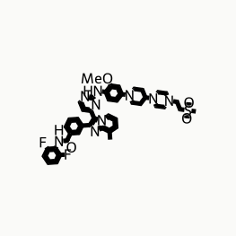 COc1cc(N2CCC(N3CCN(CCS(C)(=O)=O)CC3)CC2)ccc1Nc1nccc(-c2c(-c3cccc(C(=O)Nc4c(F)cccc4F)c3)nc3c(C)cccn23)n1